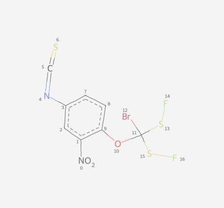 O=[N+]([O-])c1cc(N=C=S)ccc1OC(Br)(SF)SF